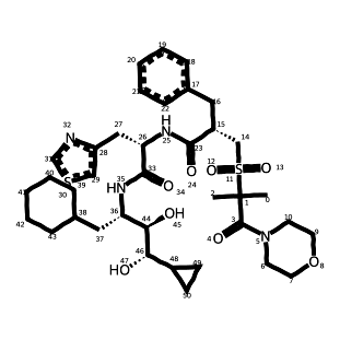 CC(C)(C(=O)N1CCOCC1)S(=O)(=O)C[C@@H](Cc1ccccc1)C(=O)N[C@@H](Cc1cscn1)C(=O)N[C@@H](CC1CCCCC1)[C@@H](O)[C@@H](O)C1CC1